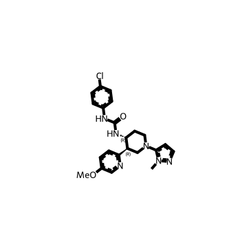 COc1ccc([C@@H]2CN(c3ccnn3C)CC[C@H]2NC(=O)Nc2ccc(Cl)cc2)nc1